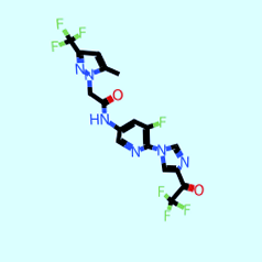 Cc1cc(C(F)(F)F)nn1CC(=O)Nc1cnc(-n2cnc(C(=O)C(F)(F)F)c2)c(F)c1